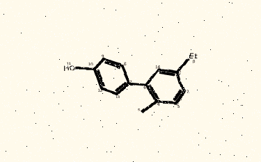 CCc1ccc(C)c(-c2ccc(O)cc2)c1